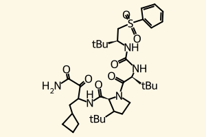 CC(C)(C)C1CCN(C(=O)[C@@H](NC(=O)N[C@H](CS(=O)(=O)c2ccccc2)C(C)(C)C)C(C)(C)C)[C@@H]1C(=O)NC(CC1CCC1)C(=O)C(N)=O